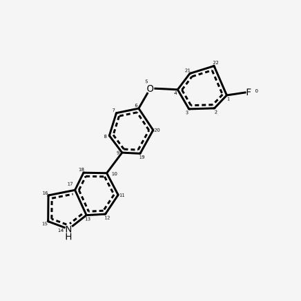 Fc1ccc(Oc2ccc(-c3ccc4[nH]ccc4c3)cc2)cc1